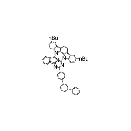 CCCCc1ccc2c(c1)c1ccc3c4cc(CCCC)ccc4n(-c4nc(-c5ccccc5)nc(-c5ccc(-c6cccc(-c7ccccc7)c6)cc5)n4)c3c1n2-c1ccccc1